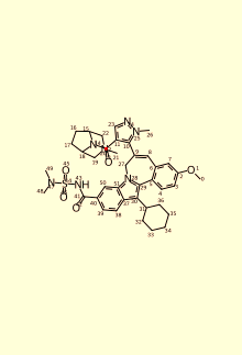 COc1ccc2c(c1)C=C(c1c(C(=O)N3C4CCC3CN(C)C4)cnn1C)Cn1c-2c(C2CCCCC2)c2ccc(C(=O)NS(=O)(=O)N(C)C)cc21